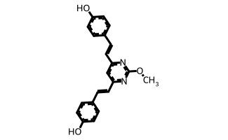 COc1nc(/C=C/c2ccc(O)cc2)cc(/C=C/c2ccc(O)cc2)n1